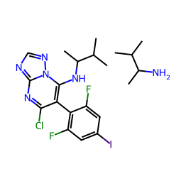 CC(C)C(C)N.CC(C)C(C)Nc1c(-c2c(F)cc(I)cc2F)c(Cl)nc2ncnn12